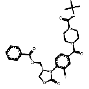 CC(C)(C)OC(=O)N1CCN(C(=O)c2ccc(N3C(=O)OC[C@H]3COC(=O)c3ccccc3)c(F)c2)CC1